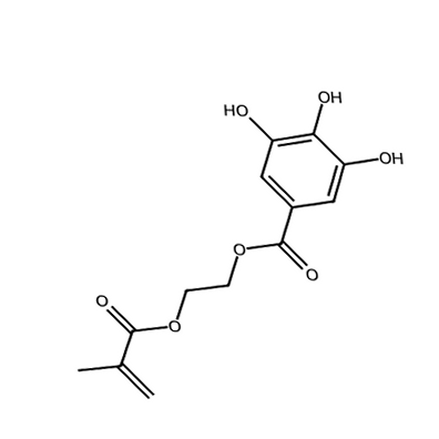 C=C(C)C(=O)OCCOC(=O)c1cc(O)c(O)c(O)c1